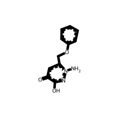 Nn1nc(O)c(=O)cc1COc1ccccc1